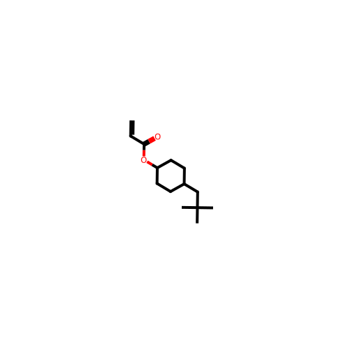 C=CC(=O)OC1CCC(CC(C)(C)C)CC1